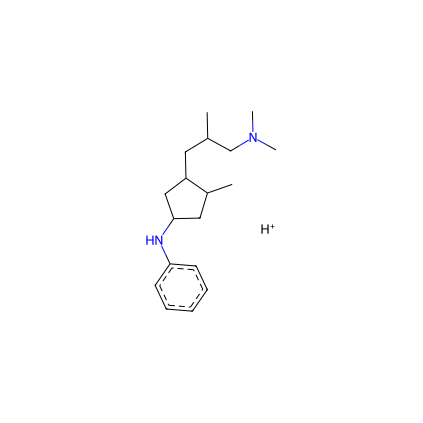 CC(CC1CC(Nc2ccccc2)CC1C)CN(C)C.[H+]